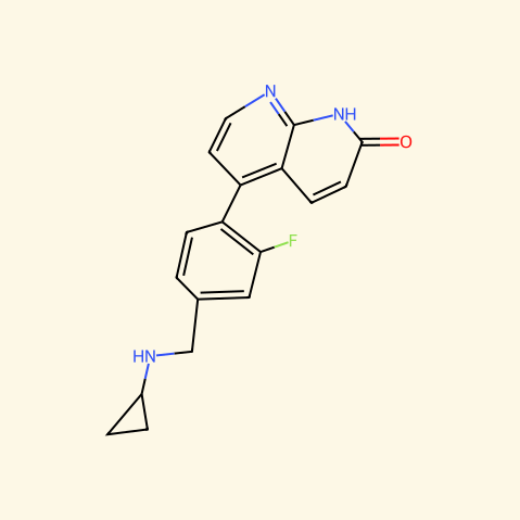 O=c1ccc2c(-c3ccc(CNC4CC4)cc3F)ccnc2[nH]1